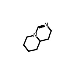 C1=NCCC2CCCCN12